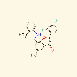 CC(Nc1ccccc1C(=O)O)c1cc(C(F)(F)F)cc2c(=O)cc(-c3ccc(F)cc3F)oc12